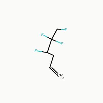 C=CCC(F)C(F)(F)CF